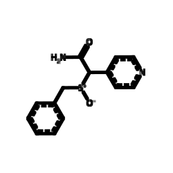 NC(=O)C(c1ccncc1)[S+]([O-])Cc1ccccc1